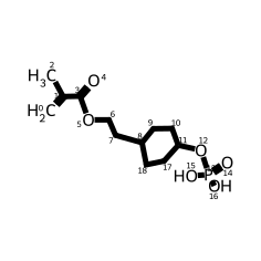 C=C(C)C(=O)OCCC1CCC(OP(=O)(O)O)CC1